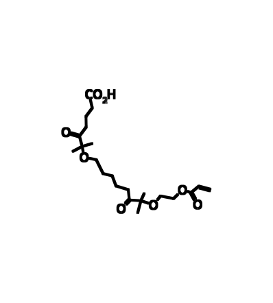 C=CC(=O)OCCOC(C)(C)C(=O)CCCCCOC(C)(C)C(=O)CCCC(=O)O